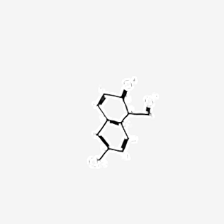 O=CC1C(=O)C=Cc2cc(Cl)ccc21